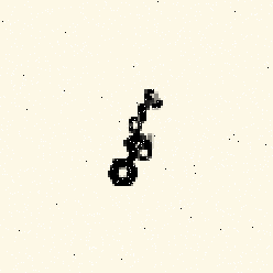 CN(C)CCOc1cc(-c2ccccc2)on1